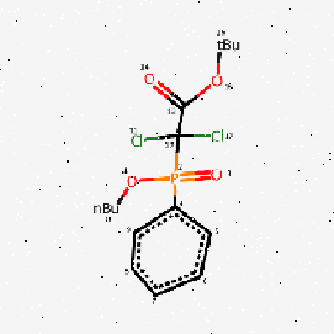 CCCCOP(=O)(c1ccccc1)C(Cl)(Cl)C(=O)OC(C)(C)C